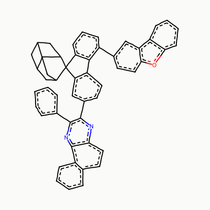 c1ccc(-c2nc3c(ccc4ccccc43)nc2-c2ccc3c(c2)C2(c4cccc(-c5ccc6oc7ccccc7c6c5)c4-3)C3CC4CC(C3)CC2C4)cc1